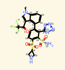 Cn1cc(C(=O)C(F)(F)F)c2c(-c3ccc(S(=O)(=O)C4CNC4)c(S(N)(=O)=O)c3-c3nnn[nH]3)cccc21